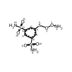 NOOSc1cc(S(N)(=O)=O)cc(S(N)(=O)=O)c1